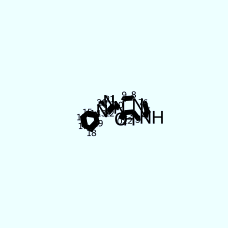 O=C1[C@H]2CNCCN2CCN1c1cn(-c2ccccc2)cn1